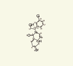 O=C1C2=CC=C(Br)C[C@@H]2N=CN1C(CO)c1cccc(Cl)c1